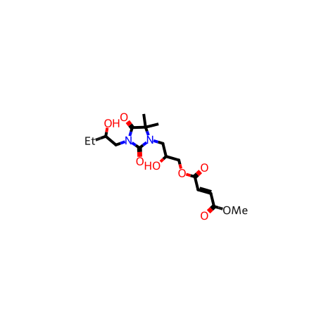 CCC(O)CN1C(=O)N(CC(O)COC(=O)/C=C/C(=O)OC)C(C)(C)C1=O